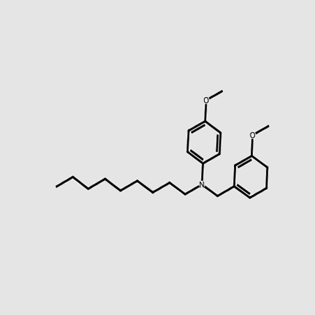 CCCCCCCCCN(CC1=CCCC(OC)=C1)c1ccc(OC)cc1